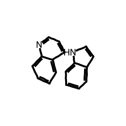 c1ccc2[nH]ccc2c1.c1ccc2ncccc2c1